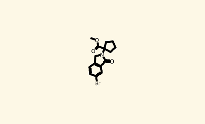 COC(=O)C1(N2Cc3ccc(Br)cc3C2=O)CCCC1